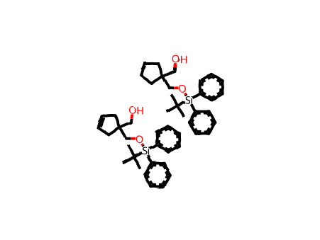 CC(C)(C)[Si](OCC1(CO)CC=CC1)(c1ccccc1)c1ccccc1.CC(C)(C)[Si](OCC1(CO)CCCC1)(c1ccccc1)c1ccccc1